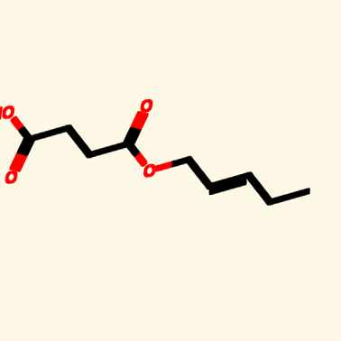 CCC=CCOC(=O)CCC(=O)O